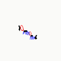 CC(C)NCCONCCOC(C)C